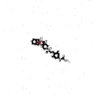 Cc1cc(N(C)C(N)=O)cc(C)c1CCS(=O)(=O)N1CCC2(CC1)N=C(C1C3CCCC1CCC3)NC2=O